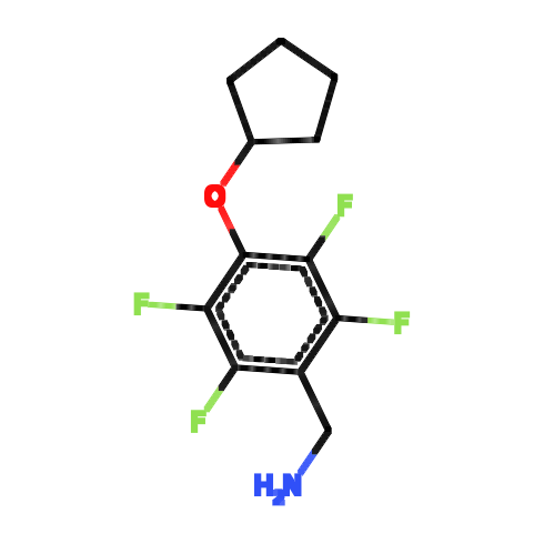 NCc1c(F)c(F)c(OC2CCCC2)c(F)c1F